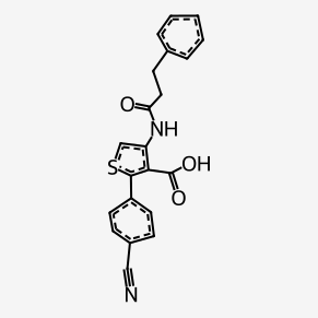 N#Cc1ccc(-c2scc(NC(=O)CCc3ccccc3)c2C(=O)O)cc1